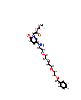 CCOC(=O)Cn1cc(NCCOCCOCCOCCOCc2ccccc2)ccc1=O